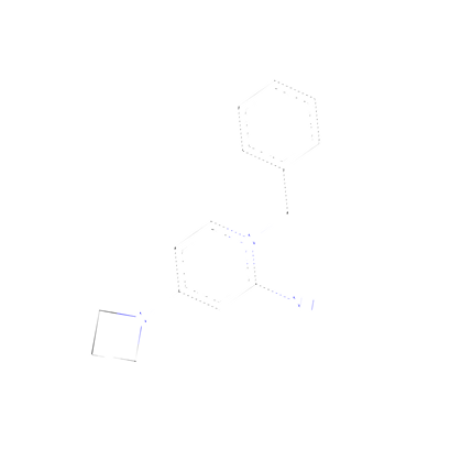 Nc1cc(N2CCC2)cc[n+]1Cc1ccccc1